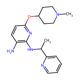 CC(Nc1nc(OC2CCN(C)CC2)ccc1N)c1ccccn1